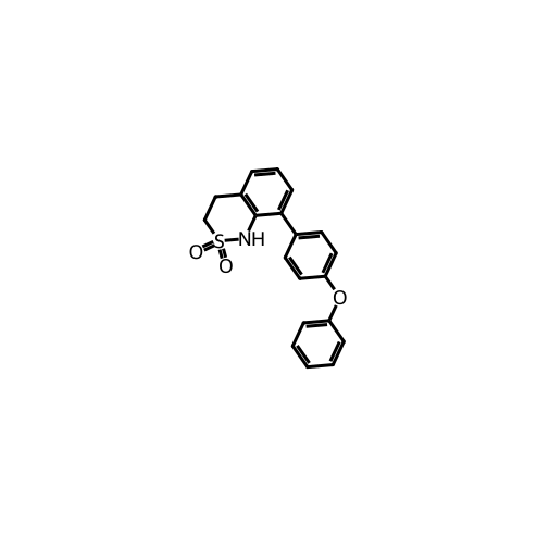 O=S1(=O)CCc2cccc(-c3ccc(Oc4ccccc4)cc3)c2N1